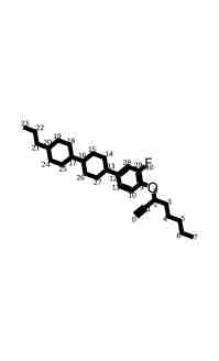 C#CC(CCCCC)Oc1ccc(C2CCC(C3CCC(CCC)CC3)CC2)cc1F